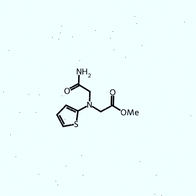 COC(=O)CN(CC(N)=O)c1cccs1